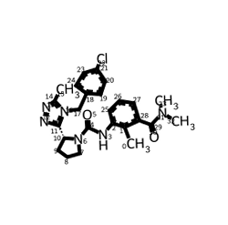 Cc1c(NC(=O)N2CCC[C@@H]2c2nnc(C)n2Cc2ccc(Cl)cc2)cccc1C(=O)N(C)C